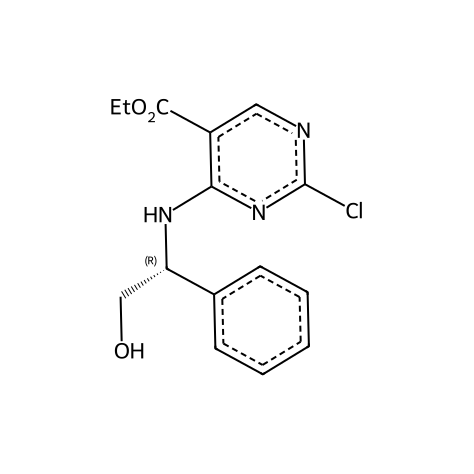 CCOC(=O)c1cnc(Cl)nc1N[C@@H](CO)c1ccccc1